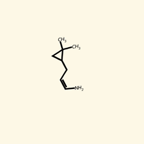 CC1(C)CC1C/C=C\N